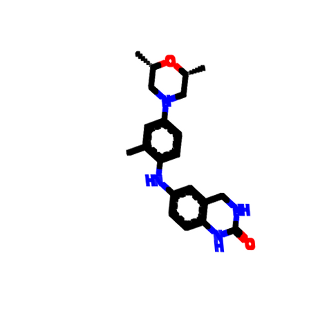 Cc1cc(N2C[C@@H](C)O[C@@H](C)C2)ccc1Nc1ccc2c(c1)CNC(=O)N2